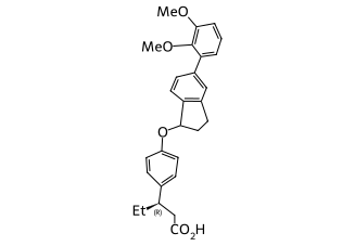 CC[C@H](CC(=O)O)c1ccc(OC2CCc3cc(-c4cccc(OC)c4OC)ccc32)cc1